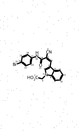 N#CC(=Cc1cn(CC(=O)O)c2ccccc12)C(=O)Nc1ccc(Br)cc1